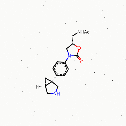 CC(=O)NC[C@H]1CN(c2ccc([C@]34CNC[C@H]3C4)cc2)C(=O)O1